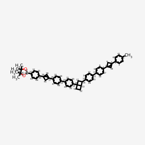 Cc1ccc(C23CC(c4ccc(-c5ccc(C6CC7(c8ccc(-c9ccc(C%10%11CC(c%12ccc(B%13OC(C)(C)C(C)(C)O%13)cc%12)(C%10)C%11)cc9)cc8)CCC67)cc5)cc4)(C2)C3)cc1